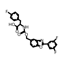 O=C(NC(Cc1ccc(F)cc1)C(=O)O)OCc1ccc2oc(-c3cc(F)cc(F)c3)nc2c1